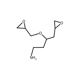 [SiH3]CCC(CC1CO1)OCC1CO1